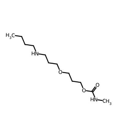 CCCCNCCCOCCCOC(=O)NC